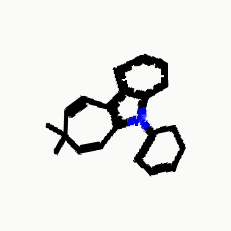 CC1(C)C=Cc2c(n(C3=CC=CCC3)c3ccccc23)C=C1